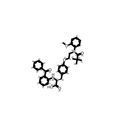 COc1ccccc1N(CCOc1ccc(C[C@H](Nc2ccccc2C(=O)c2ccccc2)C(=O)O)cc1)C(=O)C(C)(C)C